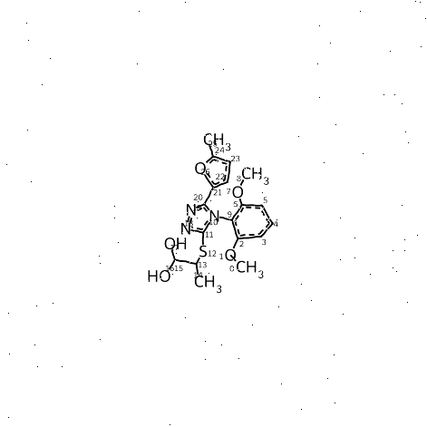 COc1cccc(OC)c1-n1c(SC(C)C(O)O)nnc1-c1ccc(C)o1